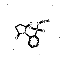 [N-]=[N+]=NS(=O)(=O)c1ccccc1N1C(=O)CCC1=O